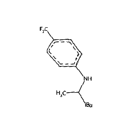 CCC(C)C(C)Nc1ccc(C(F)(F)F)cc1